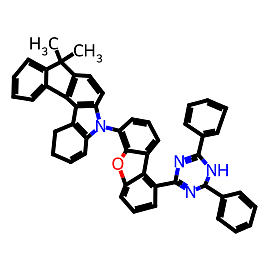 CC1(C)c2ccccc2-c2c1ccc1c2c2c(n1-c1cccc3c1oc1cccc(C4=NC(c5ccccc5)NC(c5ccccc5)=N4)c13)C=CCC2